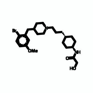 COc1ccc(Br)c(CC2CCN(CCC[C@H]3CC[C@H](NC(=O)CO)CC3)CC2)c1